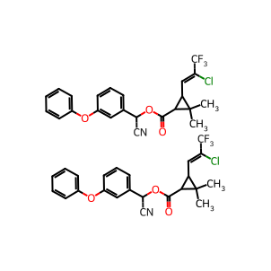 CC1(C)C(/C=C(\Cl)C(F)(F)F)C1C(=O)OC(C#N)c1cccc(Oc2ccccc2)c1.CC1(C)C(/C=C(\Cl)C(F)(F)F)C1C(=O)OC(C#N)c1cccc(Oc2ccccc2)c1